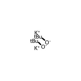 CC(C)(C)[O-].CC(C)(C)[O-].[K+].[K+]